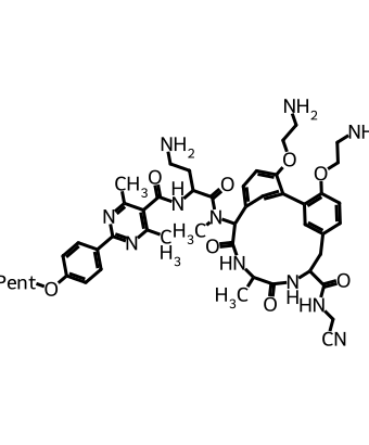 CCCCCOc1ccc(-c2nc(C)c(C(=O)NC(CCN)C(=O)N(C)C3C(=O)NC(C)C(=O)NC(C(=O)NCC#N)Cc4ccc(OCCN)c(c4)-c4cc3ccc4OCCN)c(C)n2)cc1